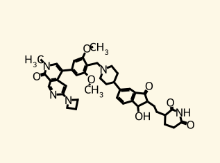 COc1cc(-c2cn(C)c(=O)c3cnc(N4CCC4)cc23)cc(OC)c1CN1CCC(c2ccc3c(c2)C(=O)C(CCC2CCC(=O)NC2=O)C3O)CC1